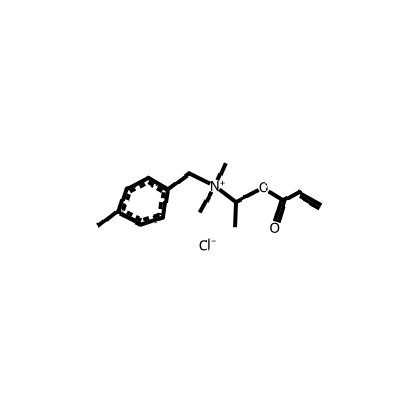 C=CC(=O)OC(C)[N+](C)(C)Cc1ccc(C)cc1.[Cl-]